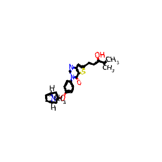 CC(C)C(O)CCc1cc2ncn(-c3ccc(O[C@H]4C[C@H]5CC[C@@H](C4)N5C)cc3)c(=O)c2s1